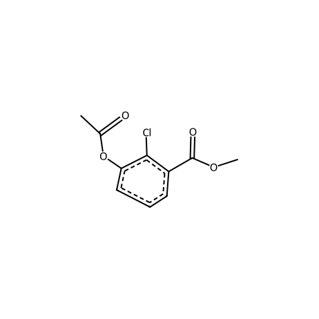 COC(=O)c1cccc(OC(C)=O)c1Cl